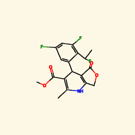 COC(=O)C1=C(C)NC2=C(C(=O)OC2)C1c1cc(F)cc(F)c1C(C)F